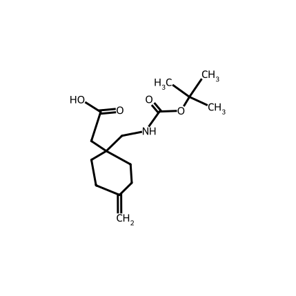 C=C1CCC(CNC(=O)OC(C)(C)C)(CC(=O)O)CC1